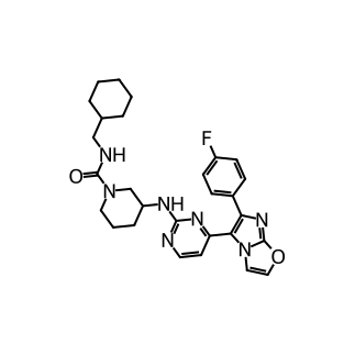 O=C(NCC1CCCCC1)N1CCCC(Nc2nccc(-c3c(-c4ccc(F)cc4)nc4occn34)n2)C1